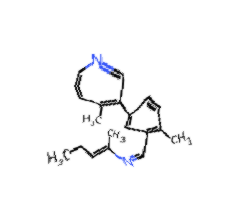 CC/C=C(C)/N=C\c1cc(-c2cnccc2C)ccc1C